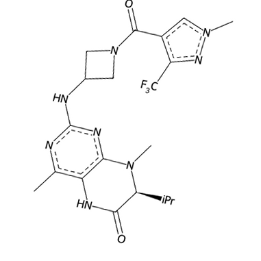 Cc1nc(NC2CN(C(=O)c3cn(C)nc3C(F)(F)F)C2)nc2c1NC(=O)[C@H](C(C)C)N2C